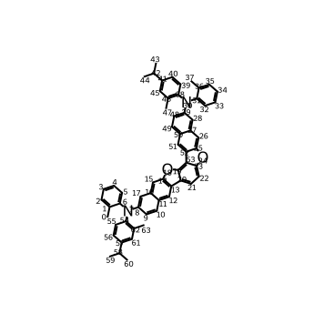 Cc1ccccc1N(c1ccc2cc3c(cc2c1)oc1c3ccc2oc3cc4cc(N(c5ccccc5C)c5ccc(C(C)C)cc5C)ccc4cc3c21)c1ccc(C(C)C)cc1C